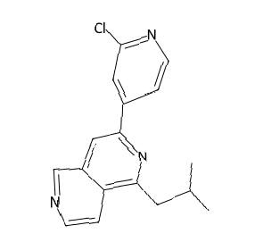 CC(C)Cc1nc(-c2ccnc(Cl)c2)cc2cnccc12